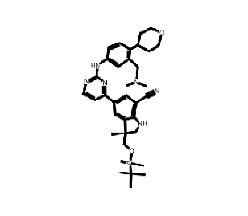 CN(C)Cc1cc(Nc2nccc(-c3cc(C#N)c4c(c3)[C@@](C)(CO[Si](C)(C)C(C)(C)C)CN4)n2)ccc1C1CCOCC1